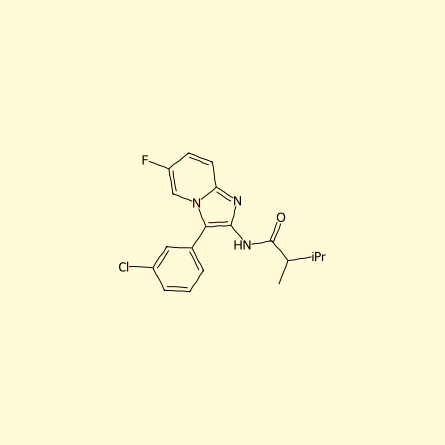 CC(C)C(C)C(=O)Nc1nc2ccc(F)cn2c1-c1cccc(Cl)c1